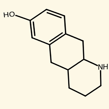 Oc1ccc2c(c1)CC1CCCNC1C2